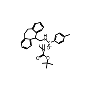 Cc1ccc([S+]([O-])N[C@H](CNC(=O)OC(C)(C)C)C2c3ccccc3CCc3ccccc32)cc1